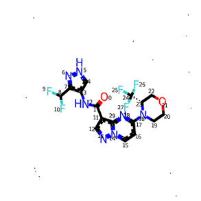 O=C(Nc1c[nH]nc1C(F)F)c1cnn2ccc(N3CCOC[C@H]3C(F)(F)F)nc12